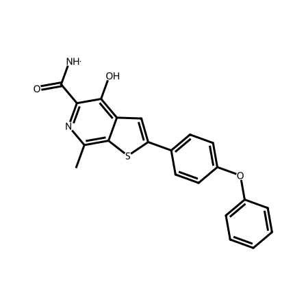 Cc1nc(C([NH])=O)c(O)c2cc(-c3ccc(Oc4ccccc4)cc3)sc12